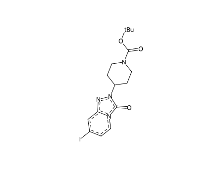 CC(C)(C)OC(=O)N1CCC(n2nc3cc(I)ccn3c2=O)CC1